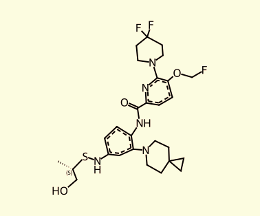 C[C@@H](CO)SNc1ccc(NC(=O)c2ccc(OCF)c(N3CCC(F)(F)CC3)n2)c(N2CCC3(CC2)CC3)c1